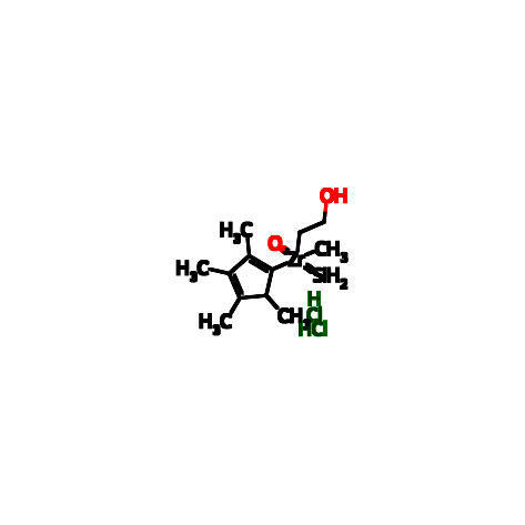 CC1=C(C)C(C)[C]([Zr]([CH3])(=[O])(=[SiH2])[CH2]CO)=C1C.Cl.Cl